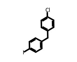 Clc1ccc(Cc2ccc(I)cc2)cc1